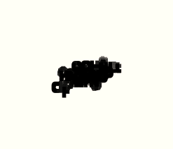 CCC(=O)[C@@H]1C[C@@H](C)CN1C(=O)[C@H](C)NC(=O)[C@@H]1CCCCN1C(=O)[C@@H]1CCCN1C(=O)[C@@H](NC(=O)[C@H](Cc1cccc(C)c1)NC(=O)Nc1ccc(Cl)c(F)c1)[C@H](C)O